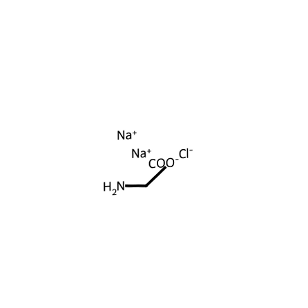 NCC(=O)[O-].[Cl-].[Na+].[Na+]